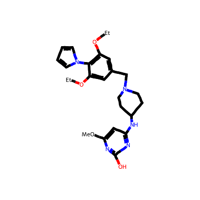 CCOc1cc(CN2CCC(Nc3cc(OC)nc(O)n3)CC2)cc(OCC)c1-n1cccc1